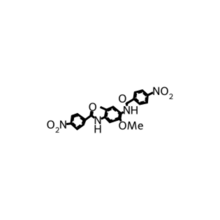 COc1cc(NC(=O)c2ccc([N+](=O)[O-])cc2)c(C)cc1NC(=O)c1ccc([N+](=O)[O-])cc1